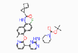 Cc1ccc2c(NC(=O)[C@H]3CC34CCC4)c(F)ccc2c1Oc1ncccc1-c1ccnc(N[C@H]2CCCN(C(=O)OC(C)(C)C)C2)n1